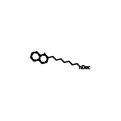 CCCCCCCCCCCCCCCCCc1[c]c2ccccc2cc1